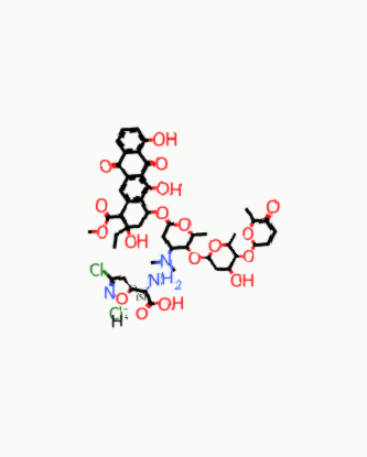 CCC1(O)CC(OC2CC(N(C)C)C(OC3CC(O)C(OC4CCC(=O)C(C)O4)C(C)O3)C(C)O2)c2c(cc3c(c2O)C(=O)c2c(O)cccc2C3=O)C1C(=O)OC.N[C@H](C(=O)O)[C@@H]1CC(Cl)=NO1.[Cl-].[H+]